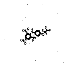 O=[N+]([O-])c1cc([N+](=O)[O-])c(Nc2ccc(OC(F)(F)C(F)F)cc2)c(C(F)(F)F)c1